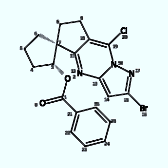 O=C(O[C@@H]1CCC[C@@]12CCc1c2nc2cc(Br)nn2c1Cl)c1ccccc1